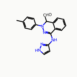 Cc1ccc(N2N=C(Nc3cc[nH]n3)c3ccccc3C2C=O)cc1